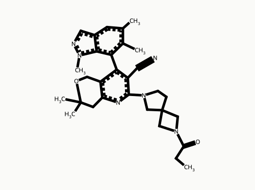 CCC(=O)N1CC2(CCN(c3nc4c(c(-c5c(C)c(C)cc6cnn(C)c56)c3C#N)COC(C)(C)C4)C2)C1